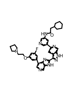 O=C(CC1CCCCC1)Nc1cncc(-c2cc3c(-c4nc5c(-c6cc(F)cc(OCCN7CCCC7)c6)cncc5[nH]4)n[nH]c3cn2)c1